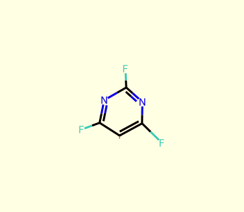 Fc1[c]c(F)nc(F)n1